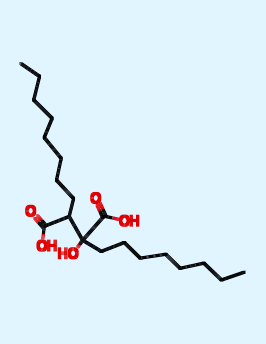 CCCCCCCCC(C(=O)O)C(O)(CCCCCCCC)C(=O)O